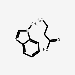 CCCC(=O)O.Cn1cnc2ccccc21